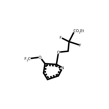 CCOC(=O)C(F)(F)COc1ncccc1OC(F)(F)F